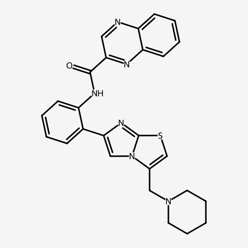 O=C(Nc1ccccc1-c1cn2c(CN3CCCCC3)csc2n1)c1cnc2ccccc2n1